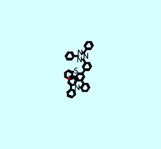 C1=CC(c2cc(-c3cccc(-c4nc(-c5ccccc5)nc(-c5ccccc5)n4)c3)c3sc4ccccc4c3c2)=C(n2c3ccccc3c3ccccc32)CC1